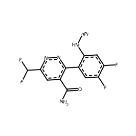 CCCNc1cc(F)c(F)cc1-c1nnc(C(F)F)cc1C(N)=O